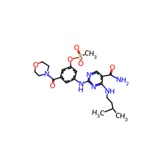 CC(C)CCNc1nc(Nc2cc(OS(C)(=O)=O)cc(C(=O)N3CCOCC3)c2)ncc1C(N)=O